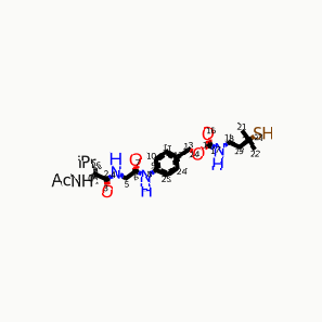 CC(=O)NC(C(=O)NCC(=O)Nc1ccc(COC(=O)NCCC(C)(C)S)cc1)C(C)C